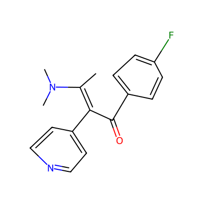 CC(=C(C(=O)c1ccc(F)cc1)c1ccncc1)N(C)C